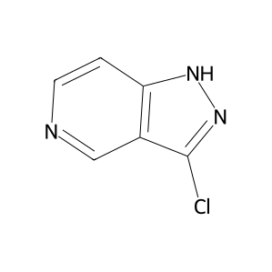 Clc1n[nH]c2ccncc12